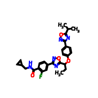 CCC(Oc1ccc(-c2noc(C(C)C)n2)cc1)c1nc(-c2ccc(C(=O)NCC3CC3)c(F)c2)no1